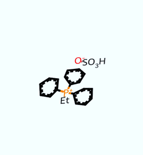 CC[P+](c1ccccc1)(c1ccccc1)c1ccccc1.O=S(=O)([O-])O